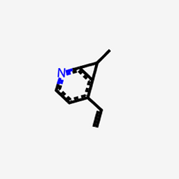 C=Cc1ccnc2c1C2C